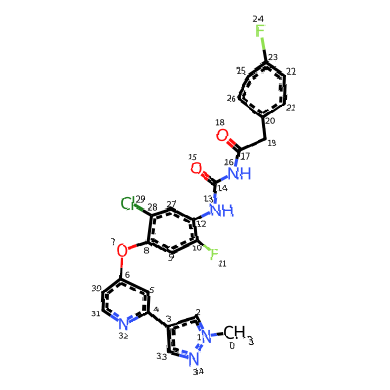 Cn1cc(-c2cc(Oc3cc(F)c(NC(=O)NC(=O)Cc4ccc(F)cc4)cc3Cl)ccn2)cn1